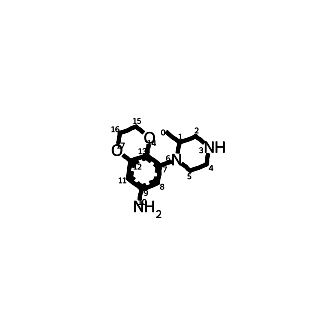 CC1CNCCN1c1cc(N)cc2c1OCCO2